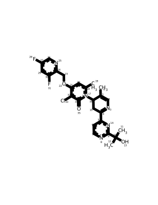 CC1=CN=C(c2ccnc(C(C)(C)O)n2)CC1n1c(C)cc(OCc2ncc(F)cc2F)c(Cl)c1=O